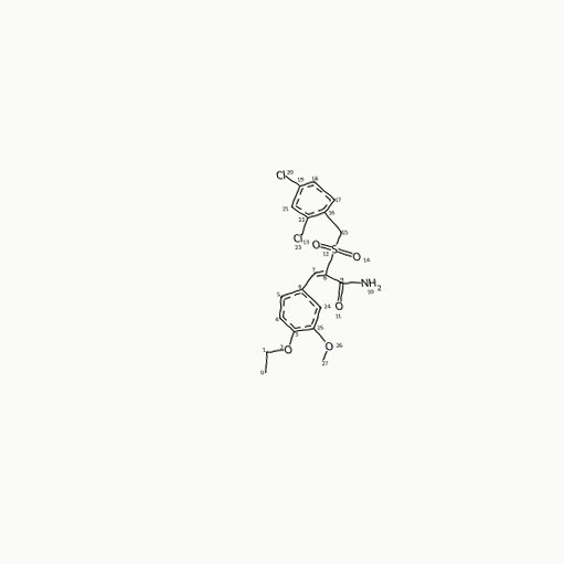 CCOc1ccc(/C=C(\C(N)=O)S(=O)(=O)Cc2ccc(Cl)cc2Cl)cc1OC